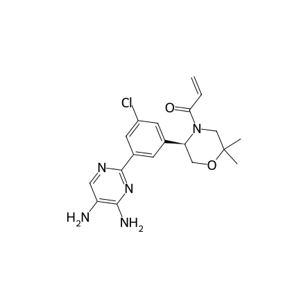 C=CC(=O)N1CC(C)(C)OC[C@H]1c1cc(Cl)cc(-c2ncc(N)c(N)n2)c1